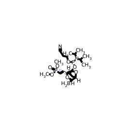 B[C@@H]1O[C@@]2(/C=C/P(=O)(OC)OC)CO[C@@H]1C[C@@H]2OP(OCCC#N)N(C(C)C)C(C)C